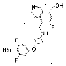 CC(C)(C)c1c(F)cc(O[C@H]2C[C@H](NCc3c(F)cc(CO)c4cnccc34)C2)cc1F